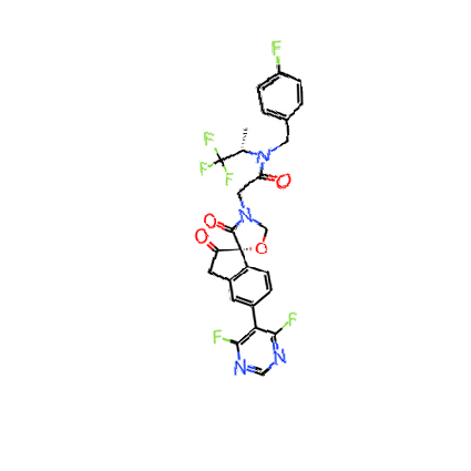 C[C@H](N(Cc1ccc(F)cc1)C(=O)CN1CO[C@]2(C(=O)Cc3cc(-c4c(F)ncnc4F)ccc32)C1=O)C(F)(F)F